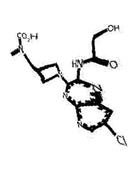 CN(C(=O)O)C1CN(c2nc3ncc(Cl)cc3nc2NC(=O)CO)C1